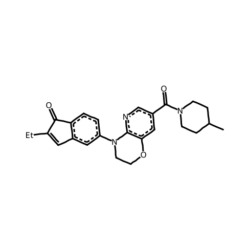 CCC1=Cc2cc(N3CCOc4cc(C(=O)N5CCC(C)CC5)cnc43)ccc2C1=O